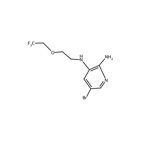 Nc1ncc(Br)cc1NCCOCC(F)(F)F